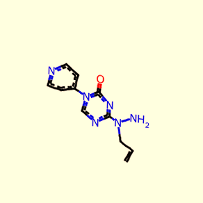 C=CCN(N)c1ncn(-c2ccncc2)c(=O)n1